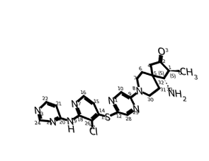 C[C@@H]1C(=O)CC2(CCN(c3cnc(Sc4ccnc(Nc5ccncn5)c4Cl)cn3)CC2)[C@H]1N